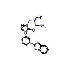 NC/C(=C\F)Cn1ncn(-c2cccc(-c3cc4ccccc4s3)c2)c1=O